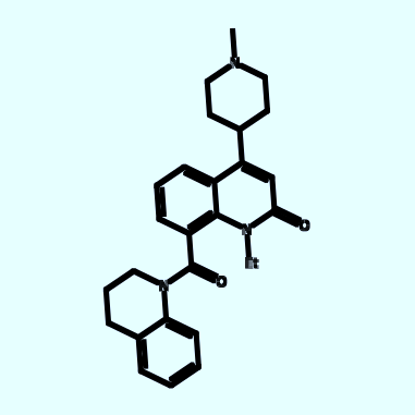 CCn1c(=O)cc(C2CCN(C)CC2)c2cccc(C(=O)N3CCCc4ccccc43)c21